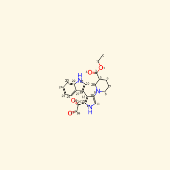 CCOC(=O)C1CCCN(c2c[nH]c(C(=O)C=O)c2-c2c[nH]c3ccccc23)C1